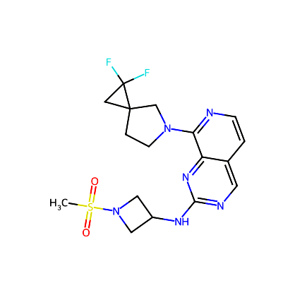 CS(=O)(=O)N1CC(Nc2ncc3ccnc(N4CCC5(C4)CC5(F)F)c3n2)C1